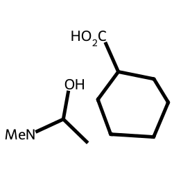 CNC(C)O.O=C(O)C1CCCCC1